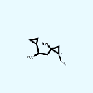 CC(CC1(N)C[C@H]1C)C1CC1